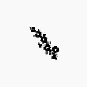 Cc1cc(Nc2ncc(Cl)c(Nc3ccccc3S(=O)(=O)C(C)C)n2)c(OC(C)C)cc1C1=C[C@H](C)N(C2COC2)[C@@H](C)C1